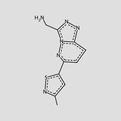 Cc1cc(-c2ccc3nnc(CN)n3n2)sn1